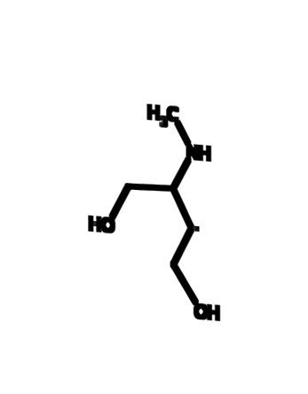 CNC([CH]CO)CO